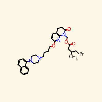 CC(C)CC(C)CC(=O)OCN1C(=O)CCc2ccc(OCCCCN3CCN(c4cccc5ccccc45)CC3)nc21